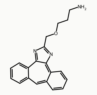 NCCCOCc1nc2c3ccccc3cc3ccccc3c-2n1